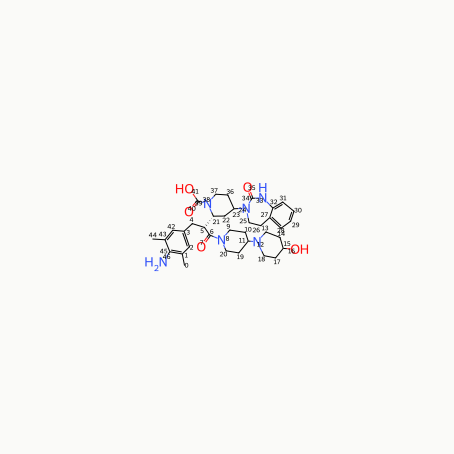 Cc1cc(CC(C(=O)N2CCC(N3CCC(O)CC3)CC2)[C@H]2CC(N3CCc4ccccc4NC3=O)CCN2C(=O)O)cc(C)c1N